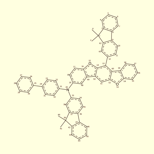 CC1(C)c2ccccc2-c2ccc(-c3c4oc5ccc(N(c6ccc(-c7ccccc7)cc6)c6ccc7c(c6)C(C)(C)c6ccccc6-7)cc5c4cc4oc5ccccc5c34)cc21